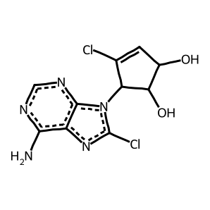 Nc1ncnc2c1nc(Cl)n2C1C(Cl)=CC(O)C1O